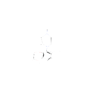 CCN1CCN(c2c(C)ccc3c2OCCO3)CC1